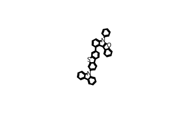 c1ccc(-n2c3cccc(-c4ccc5c(c4)sc4cc(-n6c7ccccc7c7ccccc76)ccc45)c3c3c4ccccc4oc32)cc1